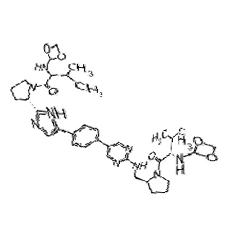 CC(C)[C@H](NC1OCO1)C(=O)N1CCC[C@H]1CNc1ncc(-c2ccc(-c3cnc([C@@H]4CCCN4C(=O)[C@@H](NC4OCO4)C(C)C)[nH]3)cc2)cn1